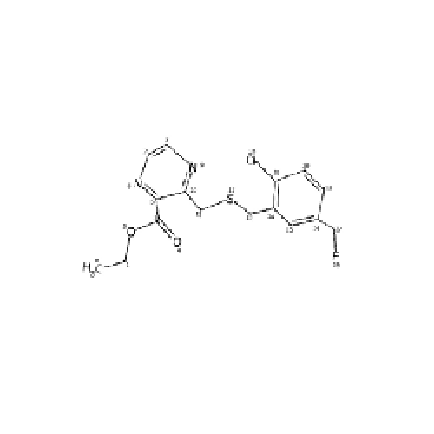 CCOC(=O)c1nccnc1CSCc1cc(CF)ccc1Cl